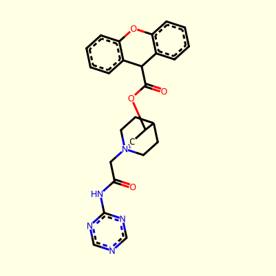 O=C(C[N+]12CCC(CC1)C(OC(=O)C1c3ccccc3Oc3ccccc31)C2)Nc1ncncn1